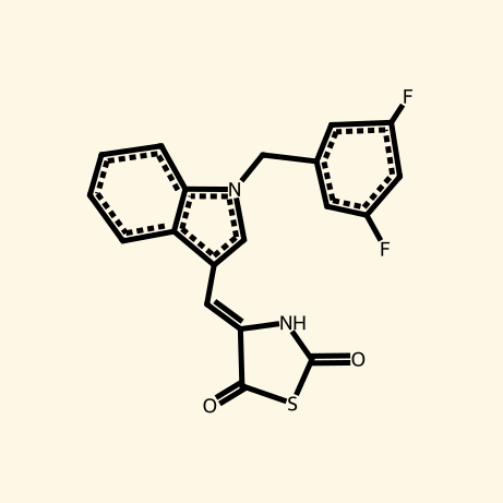 O=C1NC(=Cc2cn(Cc3cc(F)cc(F)c3)c3ccccc23)C(=O)S1